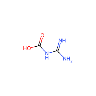 N=C(N)NC(=O)O